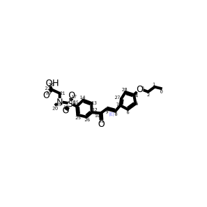 CCCOc1ccc(/C=C/C(=O)c2ccc(S(=O)(=O)N(C)CC(=O)O)cc2)cc1